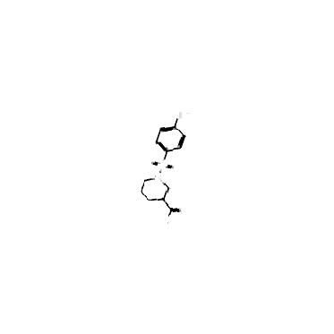 CC(C)c1ccc(S(=O)(=O)N2CCCC(C(N)=O)C2)cc1